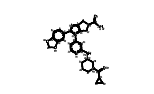 NC(=O)N1Cc2nc(-c3ccc4c(c3)OCO4)n(-c3ccnc(N[C@H]4CCCN(C(=O)C5CC5)C4)n3)c2C1